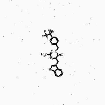 CC(=O)NC(Cc1c[nH]c2ccccc12)C(=O)OCc1ccc(C2(C(F)(F)F)N=N2)cc1